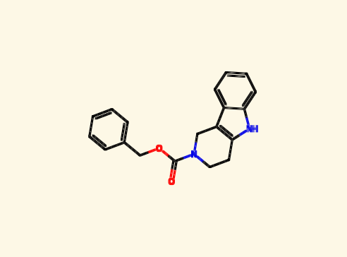 O=C(OCc1ccccc1)N1CCc2[nH]c3ccccc3c2C1